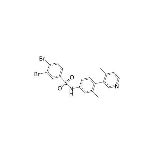 Cc1cc(NS(=O)(=O)c2ccc(Br)c(Br)c2)ccc1-c1cnccc1C